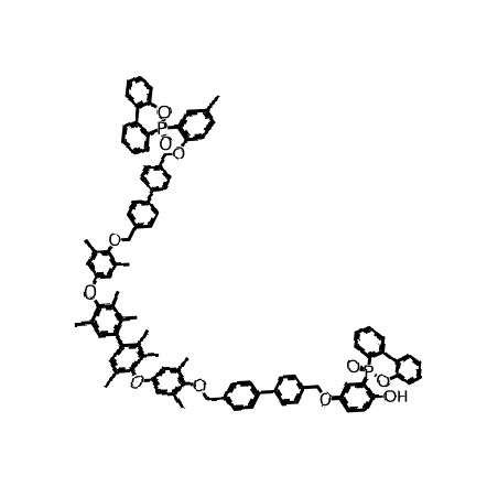 Cc1ccc(OCc2ccc(-c3ccc(COc4c(C)cc(Oc5c(C)cc(-c6cc(C)c(Oc7cc(C)c(OCc8ccc(-c9ccc(COc%10ccc(O)c(P%11(=O)Oc%12ccccc%12-c%12ccccc%12%11)c%10)cc9)cc8)c(C)c7)c(C)c6C)c(C)c5C)cc4C)cc3)cc2)c(P2(=O)Oc3ccccc3-c3ccccc32)c1